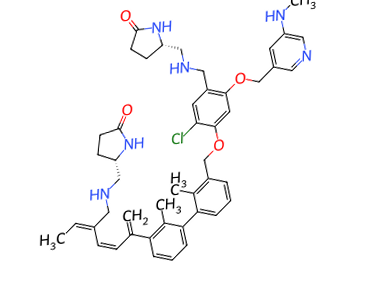 C=C(/C=C\C(=C/C)CNC[C@@H]1CCC(=O)N1)c1cccc(-c2cccc(COc3cc(OCc4cncc(NC)c4)c(CNC[C@@H]4CCC(=O)N4)cc3Cl)c2C)c1C